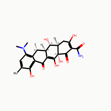 C[C@H]1c2c(N(C)C)cc(C(C)(C)C)c(O)c2C(=O)C2=C(O)[C@]3(O)C(=O)C(C(N)=O)=C(O)C[C@@H]3[C@@H](O)[C@@H]21